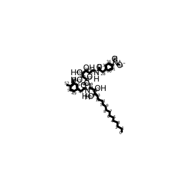 CCCCCCCCCCCCCC[C@@H](O)[C@@H](O)[C@H](CO[C@H]1OC(CNC(=O)Cc2ccc([N+](=O)[O-])cc2)[C@H](O)C(O)[C@@H]1O)NC(=O)Cc1ccc(C)c(F)c1